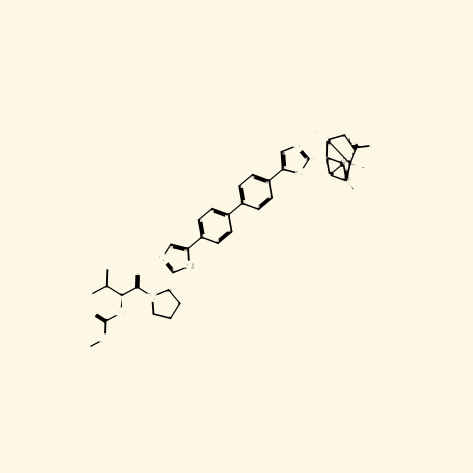 COC(=O)N[C@H](C(=O)N1CCC[C@H]1c1ncc(-c2ccc(-c3ccc(-c4cnc([C@]56C7[C@H]8[C@H](C(=O)O)[C@@H]5CC[C@@]786)[nH]4)cc3)cc2)[nH]1)C(C)C